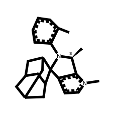 Cc1ccccc1N1[C@@H](C)c2c(ccn2C)C12C1CC3CC(C1)CC2C3